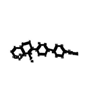 C/C=C\c1ccc(-c2ccc(-c3ccc(CCCCC)cc3)cc2)c(F)c1F